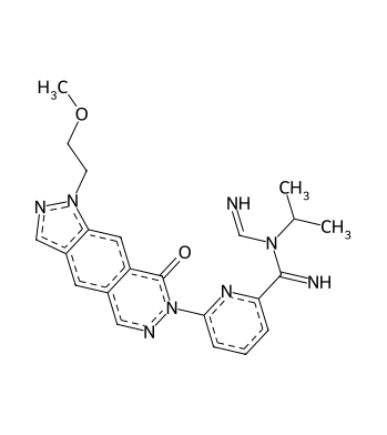 COCCn1ncc2cc3cnn(-c4cccc(C(=N)N(C=N)C(C)C)n4)c(=O)c3cc21